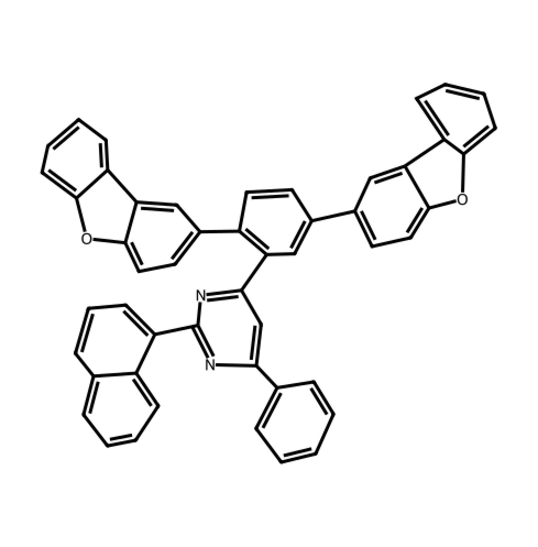 c1ccc(-c2cc(-c3cc(-c4ccc5oc6ccccc6c5c4)ccc3-c3ccc4oc5ccccc5c4c3)nc(-c3cccc4ccccc34)n2)cc1